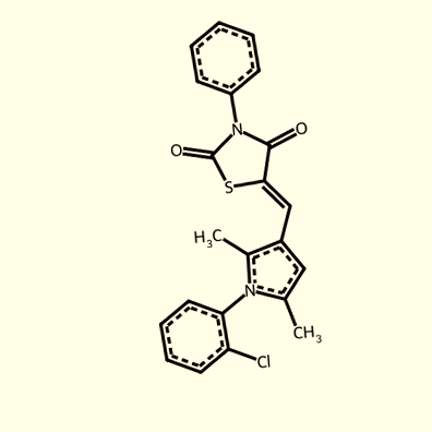 Cc1cc(C=C2SC(=O)N(c3ccccc3)C2=O)c(C)n1-c1ccccc1Cl